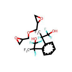 C(OCC1CO1)C1CO1.OC(F)(F)C(F)(c1ccccc1C(F)(C(O)(F)F)C(F)(F)F)C(F)(F)F